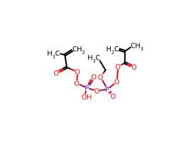 C=C(C)C(=O)OOP(=O)(O)OP(=O)(OCC)OOC(=O)C(=C)C